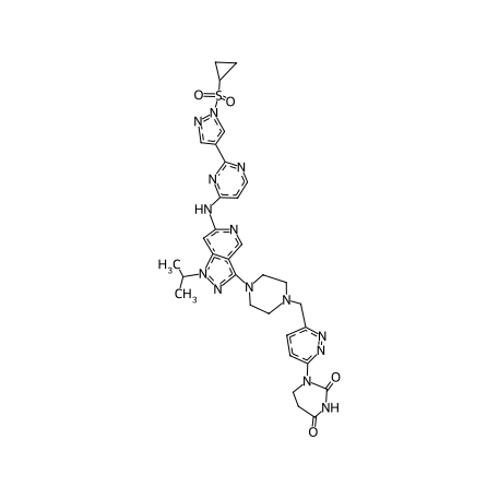 CC(C)n1nc(N2CCN(Cc3ccc(N4CCC(=O)NC4=O)nn3)CC2)c2cnc(Nc3ccnc(-c4cnn(S(=O)(=O)C5CC5)c4)n3)cc21